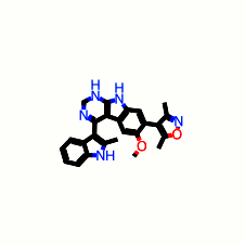 COc1cc2c3c([nH]c2cc1-c1c(C)noc1C)NCN=C3c1c(C)[nH]c2ccccc12